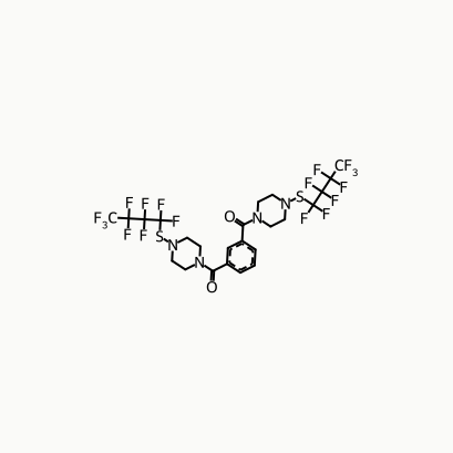 O=C(c1cccc(C(=O)N2CCN(SC(F)(F)C(F)(F)C(F)(F)C(F)(F)F)CC2)c1)N1CCN(SC(F)(F)C(F)(F)C(F)(F)C(F)(F)F)CC1